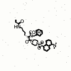 C=CC(=O)NCCCC[C@@H](C(=O)N1CCN(S(=O)(=O)c2cccc3c(N(C)C)cccc23)CC1)N(Cc1ccccc1)C(=O)O